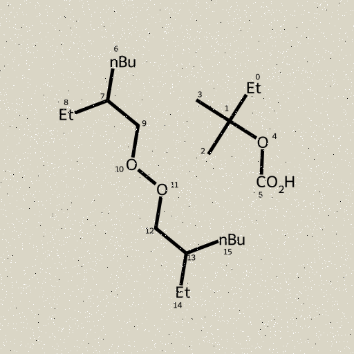 CCC(C)(C)OC(=O)O.CCCCC(CC)COOCC(CC)CCCC